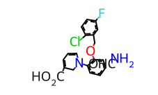 NC=O.O=C(O)C1=CC=CN(c2ccccc2OCc2cc(F)ccc2Cl)C1